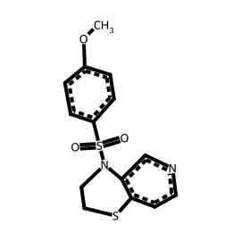 COc1ccc(S(=O)(=O)N2CCSc3ccncc32)cc1